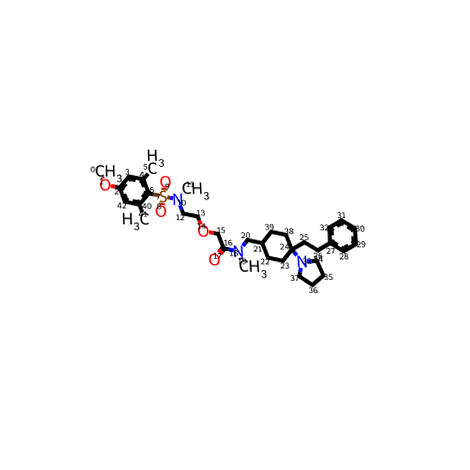 COc1cc(C)c(S(=O)(=O)N(C)CCOCC(=O)N(C)CC2CCC(CCc3ccccc3)(N3CCCC3)CC2)c(C)c1